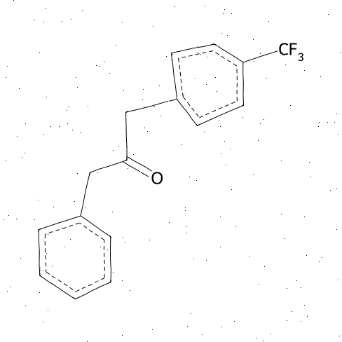 O=C(Cc1ccccc1)Cc1ccc(C(F)(F)F)cc1